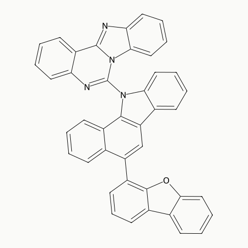 c1ccc2c(c1)nc(-n1c3ccccc3c3cc(-c4cccc5c4oc4ccccc45)c4ccccc4c31)n1c3ccccc3nc21